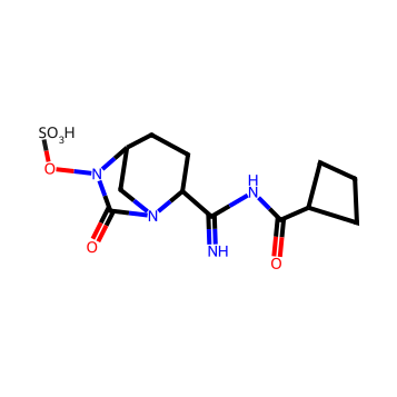 N=C(NC(=O)C1CCC1)C1CCC2CN1C(=O)N2OS(=O)(=O)O